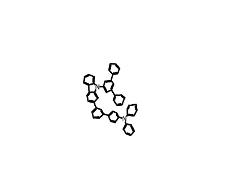 c1ccc(-c2cc(-c3ccccc3)cc(-n3c4ccccc4c4ccc(-c5cccc(-c6ccc(N(c7ccccc7)c7ccccc7)cc6)c5)cc43)c2)cc1